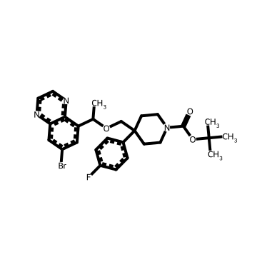 CC(OCC1(c2ccc(F)cc2)CCN(C(=O)OC(C)(C)C)CC1)c1cc(Br)cc2nccnc12